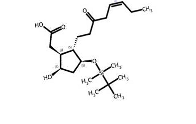 CC/C=C\CC(=O)CC[C@H]1[C@H](CC(=O)O)[C@H](O)C[C@@H]1O[Si](C)(C)C(C)(C)C